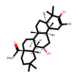 COC(=O)[C@]12CCC(C)(C)C[C@H]1[C@H]1[C@H](O)C[C@@H]3[C@@]4(C)CC(C#N)=C(O)C(C)(C)[C@@H]4CC[C@@]3(C)[C@]1(C)CC2